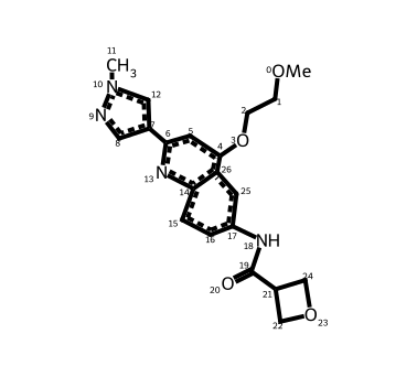 COCCOc1cc(-c2cnn(C)c2)nc2ccc(NC(=O)C3COC3)cc12